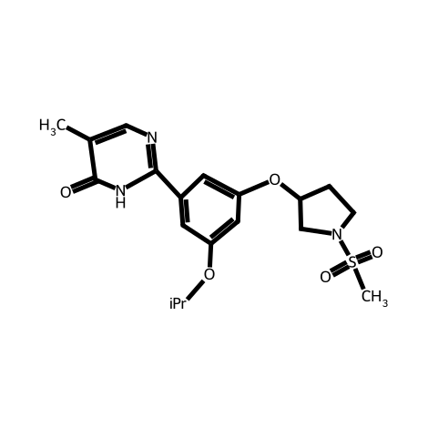 Cc1cnc(-c2cc(OC(C)C)cc(OC3CCN(S(C)(=O)=O)C3)c2)[nH]c1=O